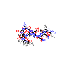 CC[C@H](C)[C@H](NC(=O)[C@H](CCC(=O)O)NC(=O)CNC(=O)[C@H](CCC(N)=O)NC(=O)[C@H](C)NC(=O)[C@H](CCC(N)=O)NC(=O)[C@H](CC(C)C)NC(=O)[C@@H](N)[C@@H](C)O)C(=O)N[C@@H](CO)C(=O)N[C@@H](CC(N)=O)C(=O)N[C@@H](CC(=O)O)C(=O)N[C@H](C(=O)N[C@@H](CCC(=O)O)C(=O)N[C@H](C(=O)N[C@H](C(=O)O)C(C)C)C(C)C)C(C)C